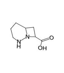 O=C(O)C1CC2CCCNN21